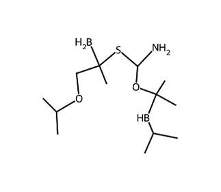 BC(C)(COC(C)C)SC(N)OC(C)(C)BC(C)C